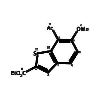 CCOC(=O)c1cc2ccc(OC)c(C(C)=O)c2[se]1